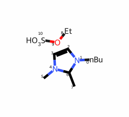 CCCCN1C=CN(C)C1C.CCOS(=O)(=O)O